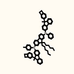 CCCCCCC1(CCCCCC)c2cc(N(c3ccccc3)c3ccc4c(c3)-c3ccccc3C4(C)c3ccc4c(c3)CC4)ccc2-c2ccc(N(c3ccc(C)cc3)c3ccc4c(c3)C(C)(c3ccc5c(c3)CC5)c3ccccc3-4)cc21